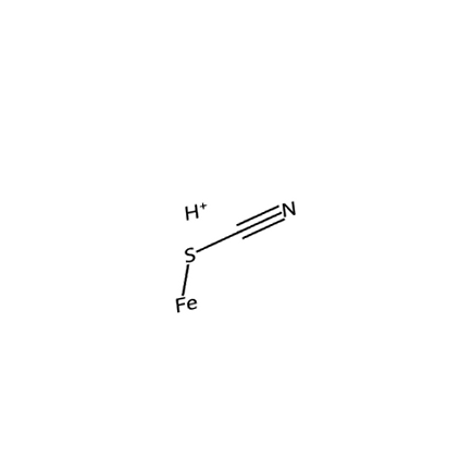 N#C[S][Fe].[H+]